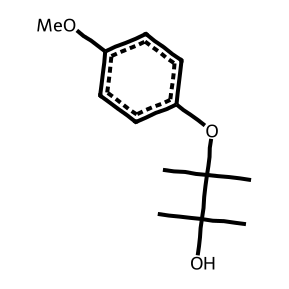 COc1ccc(OC(C)(C)C(C)(C)O)cc1